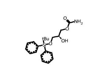 CC(C)(C)[Si](OC[C@H](O)COC(N)=O)(c1ccccc1)c1ccccc1